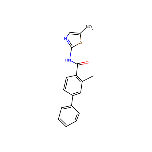 Cc1cc(-c2ccccc2)ccc1C(=O)Nc1ncc([N+](=O)[O-])s1